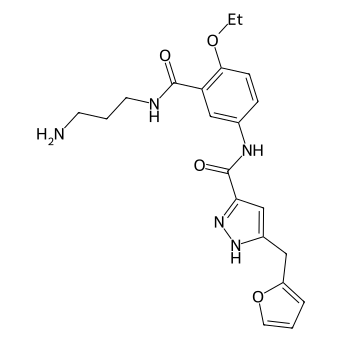 CCOc1ccc(NC(=O)c2cc(Cc3ccco3)[nH]n2)cc1C(=O)NCCCN